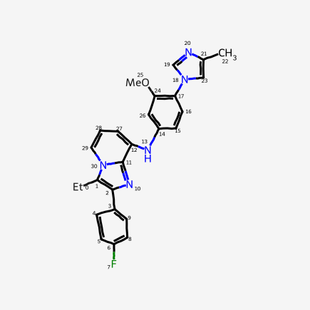 CCc1c(-c2ccc(F)cc2)nc2c(Nc3ccc(-n4cnc(C)c4)c(OC)c3)cccn12